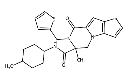 CC1CCC(NC(=O)C2(C)Cn3c(cc4sccc43)C(=O)N2Cc2cccs2)CC1